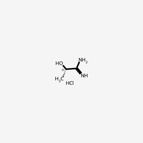 C[C@H](O)C(=N)N.Cl